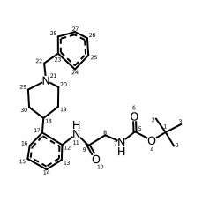 CC(C)(C)OC(=O)NCC(=O)Nc1ccccc1C1CCN(Cc2ccccc2)CC1